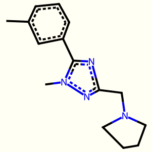 Cc1cccc(-c2nc(CN3CCCC3)nn2C)c1